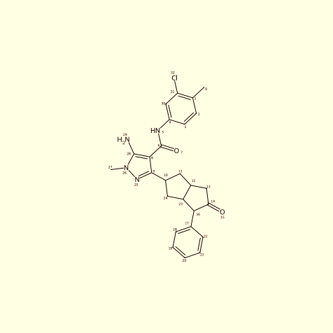 Cc1ccc(NC(=O)c2c(C3CC4CC(=O)C(c5ccccc5)C4C3)nn(C)c2N)cc1Cl